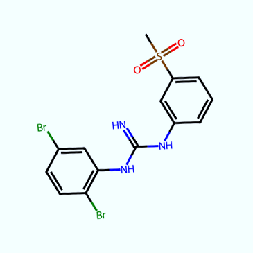 CS(=O)(=O)c1cccc(NC(=N)Nc2cc(Br)ccc2Br)c1